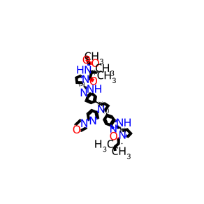 COC(=O)N[C@H](C(=O)N1CCC[C@H]1c1nc2ccc([C@H]3CC[C@H](c4ccc5nc([C@@H]6CCCN6C(=O)[CH]C(C)C)[nH]c5c4)N3c3ccc(N4CCOCC4)nc3)cc2[nH]1)C(C)C